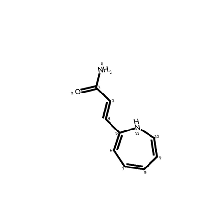 NC(=O)C=CC1=CC=CC=CN1